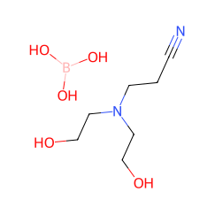 N#CCCN(CCO)CCO.OB(O)O